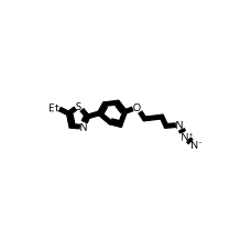 CCc1cnc(-c2ccc(OCCCN=[N+]=[N-])cc2)s1